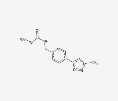 Cc1cc(-c2ccc(CNC(=O)OC(C)(C)C)cc2)on1